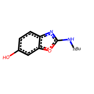 CCCCNc1nc2ccc(O)cc2o1